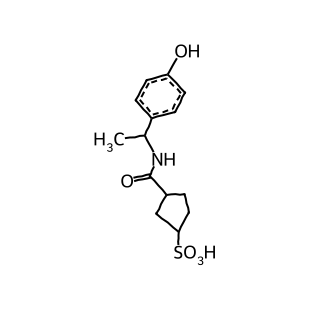 CC(NC(=O)C1CCC(S(=O)(=O)O)C1)c1ccc(O)cc1